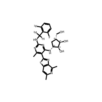 [2H]c1cccc(F)c1C([2H])([2H])Nc1nc(C)c(-c2nc3c(C)nc(C)cc3s2)c(N[C@@H]2C[C@H](CO)[C@@H](O)[C@H]2O)n1